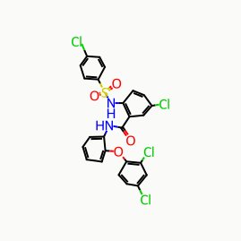 O=C(Nc1ccccc1Oc1ccc(Cl)cc1Cl)c1cc(Cl)ccc1NS(=O)(=O)c1ccc(Cl)cc1